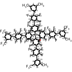 Cc1cc(C)cc(-c2c(F)c(F)c(-c3c(F)c(F)c([B-](c4c(F)c(F)c(-c5c(F)c(F)c(-c6cc(C)cc(C(F)(F)F)c6)c(F)c5F)c(F)c4F)(c4c(F)c(F)c(-c5c(F)c(F)c(-c6cc(C)cc(C(F)(F)F)c6)c(F)c5F)c(F)c4F)c4c(F)c(F)c(-c5c(F)c(F)c(-c6cc(C(F)(F)F)cc(C(F)(F)F)c6)c(F)c5F)c(F)c4F)c(F)c3F)c(F)c2F)c1